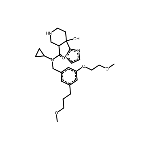 COCCCc1cc(CN(C(=O)C2CNCCC2(O)c2nccs2)C2CC2)cc(OCCOC)c1